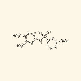 COc1cccc(S(=O)(=O)Oc2ccc(C(=O)O)c(C(=O)O)c2)c1